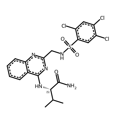 CC(C)[C@H](Nc1nc(CNS(=O)(=O)c2cc(Cl)c(Cl)cc2Cl)nc2ccccc12)C(N)=O